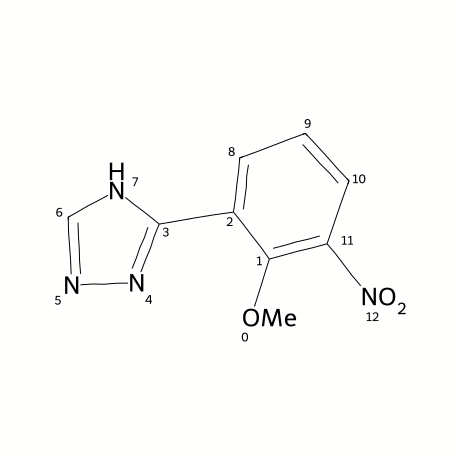 COc1c(-c2nnc[nH]2)cccc1[N+](=O)[O-]